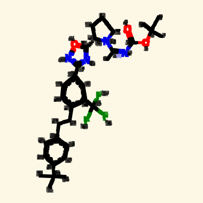 C/C(=N/C(=O)OC(C)(C)C)N1CCC[C@H]1c1nc(-c2ccc(CCc3ccc(C(C)(C)C)cc3)c(C(F)(F)F)c2)no1